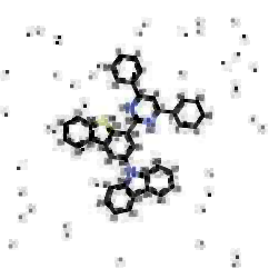 C1=CC(c2cc(-c3ccccc3)nc(-c3cc(-n4c5ccccc5c5ccccc54)cc4c3sc3ccccc34)n2)=CCC1